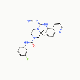 CC1(C)CN(C(=O)Nc2cccc(F)c2)CCN1/C(=N\C#N)Nc1cccc2ncccc12